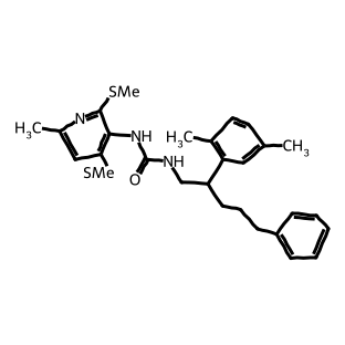 CSc1cc(C)nc(SC)c1NC(=O)NCC(CCCc1ccccc1)c1cc(C)ccc1C